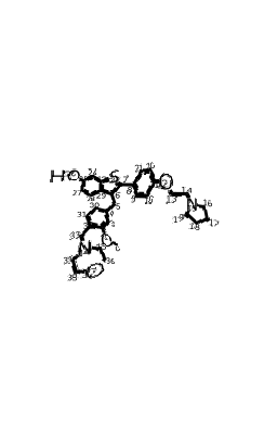 COc1cc(Cc2c(-c3ccc(OCCN4CCCC4)cc3)sc3cc(O)ccc23)ccc1CN1CCOCC1